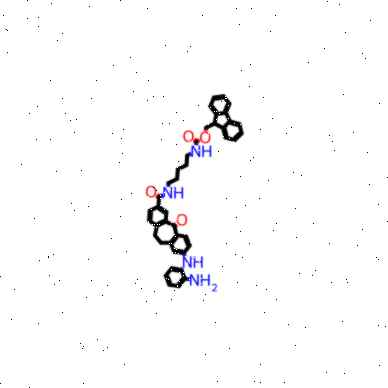 Nc1ccccc1Nc1ccc2c(c1)CCc1ccc(C(=O)NCCCCCNC(=O)OCC3c4ccccc4-c4ccccc43)cc1C2=O